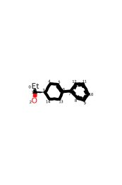 CCC(=O)[C@H]1CC=C(c2ccccc2)CC1